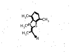 C/C(C#N)=C1/Sc2c(C)ccc(C)c2N1C